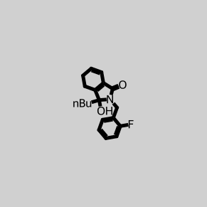 CCCCC1(O)C2=C(C=CCC2)C(=O)N1Cc1ccccc1F